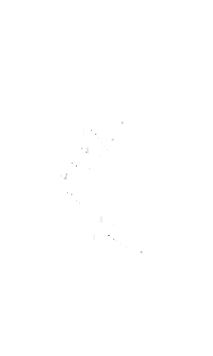 Cl.Cl.N.N.N.N.N.N.NO.NO.[Pt]